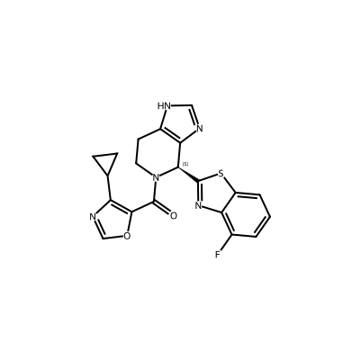 O=C(c1ocnc1C1CC1)N1CCc2[nH]cnc2[C@H]1c1nc2c(F)cccc2s1